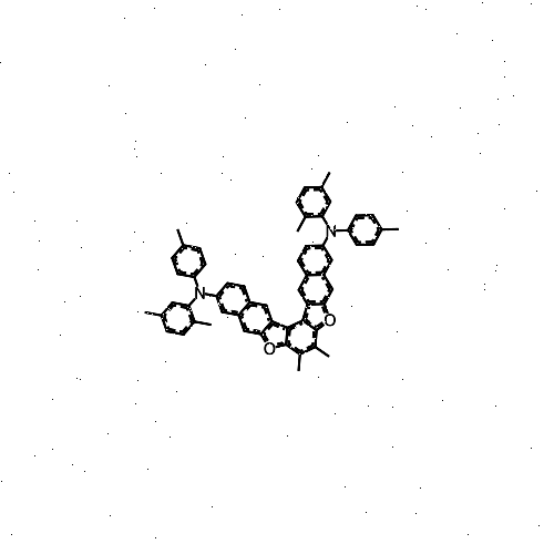 Cc1ccc(N(c2ccc3cc4c(cc3c2)oc2c(C)c(C)c3oc5cc6cc(N(c7ccc(C)cc7)c7cc(C)ccc7C)ccc6cc5c3c24)c2cc(C)ccc2C)cc1